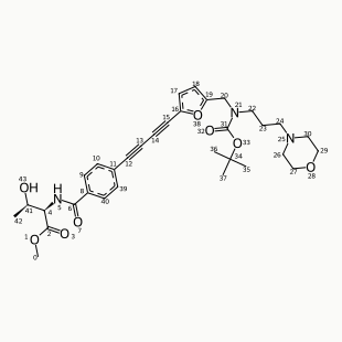 COC(=O)[C@H](NC(=O)c1ccc(C#CC#Cc2ccc(CN(CCCN3CCOCC3)C(=O)OC(C)(C)C)o2)cc1)[C@@H](C)O